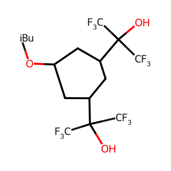 CCC(C)OC1CC(C(O)(C(F)(F)F)C(F)(F)F)CC(C(O)(C(F)(F)F)C(F)(F)F)C1